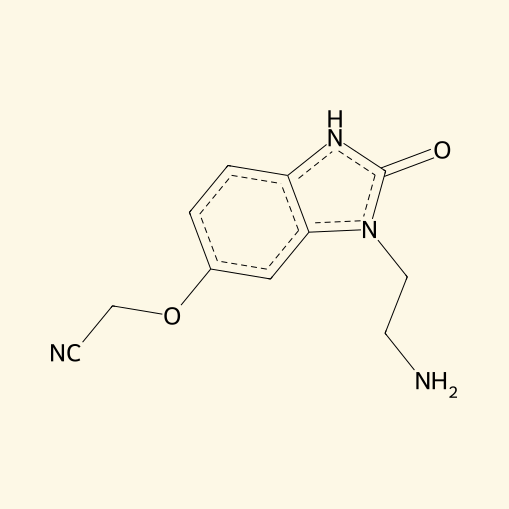 N#CCOc1ccc2[nH]c(=O)n(CCN)c2c1